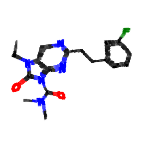 CCn1c(=O)n(C(=O)N(C)C)c2nc(CCc3cccc(F)c3)ncc21